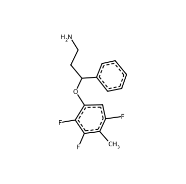 Cc1c(F)cc(OC(CCN)c2ccccc2)c(F)c1F